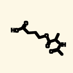 CC(=O)NC(C)C(=O)OCCCC(=O)O